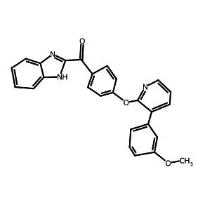 COc1cccc(-c2cccnc2Oc2ccc(C(=O)c3nc4ccccc4[nH]3)cc2)c1